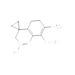 COC1=C(C(=O)O)C2=C(CC1)C1(CC1)CB(O)O2